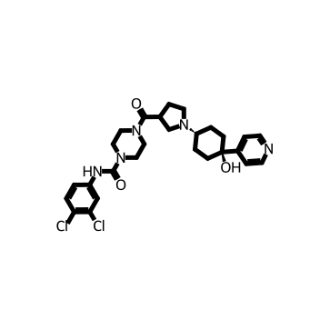 O=C(Nc1ccc(Cl)c(Cl)c1)N1CCN(C(=O)C2CCN([C@H]3CC[C@@](O)(c4ccncc4)CC3)C2)CC1